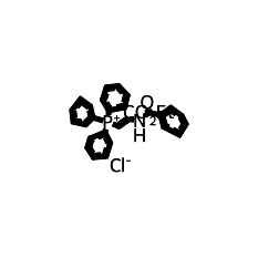 CCOC(=O)C(=C[P+](c1ccccc1)(c1ccccc1)c1ccccc1)NC(=O)c1ccccc1.[Cl-]